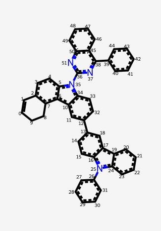 C1=Cc2ccc3c(c2CC1)c1cc(-c2ccc4c(c2)c2ccccc2n4-c2ccccc2)ccc1n3-c1nc(-c2ccccc2)c2ccccc2n1